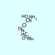 C=C1CN(C(=O)c2ccc(-c3cnc(N)c(O)c3)cc2)CC(=C)N1C(=O)OC(C)(C)C